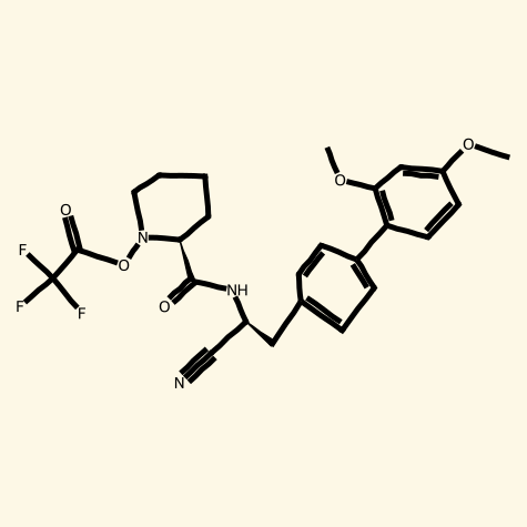 COc1ccc(-c2ccc(C[C@@H](C#N)NC(=O)[C@@H]3CCCCN3OC(=O)C(F)(F)F)cc2)c(OC)c1